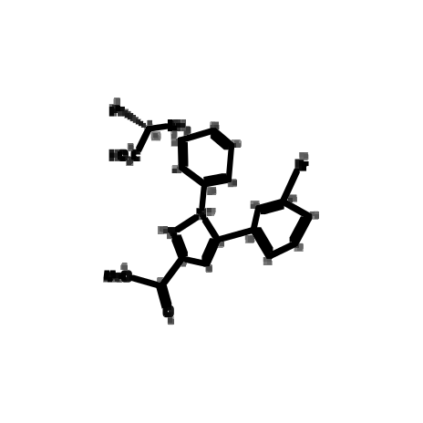 CC(C)[C@H](N)C(=O)O.COC(=O)c1cc(-c2cccc(Br)c2)n(-c2ccccc2)n1